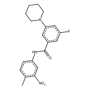 Cc1ccc(NC(=O)c2cc(F)cc(N3CCCCC3)c2)cc1[N+](=O)[O-]